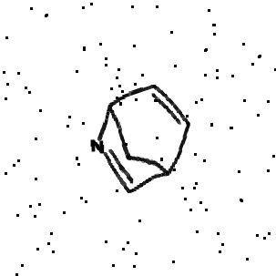 C1=CC2CC1C=N2